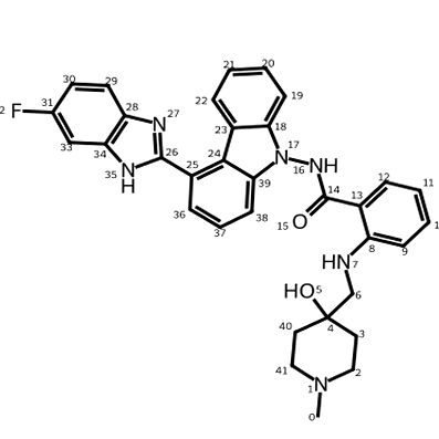 CN1CCC(O)(CNc2ccccc2C(=O)Nn2c3ccccc3c3c(-c4nc5ccc(F)cc5[nH]4)cccc32)CC1